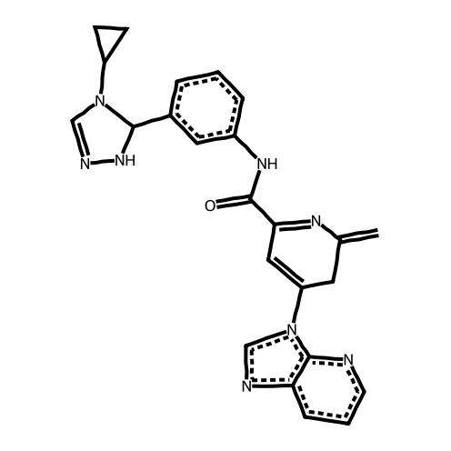 C=C1CC(n2cnc3cccnc32)=CC(C(=O)Nc2cccc(C3NN=CN3C3CC3)c2)=N1